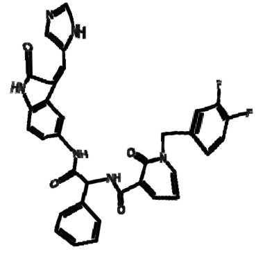 O=C1Nc2ccc(NC(=O)C(NC(=O)c3cccn(Cc4ccc(F)c(F)c4)c3=O)c3ccccc3)cc2C1=Cc1cnc[nH]1